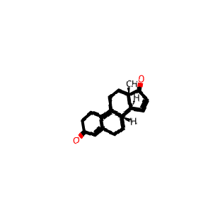 C[C@]12CCC3=C4CCC(=O)C=C4CC[C@H]3[C@@H]1C=CC2=O